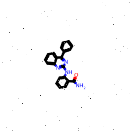 NC(=O)c1ccccc1Nc1nc(-c2ccccc2)c2ccccc2n1